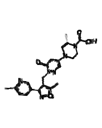 Cc1ccc(-c2noc(C)c2Cn2ncc(N3CCN(C(=O)O)[C@@H](C)C3)cc2=O)cn1